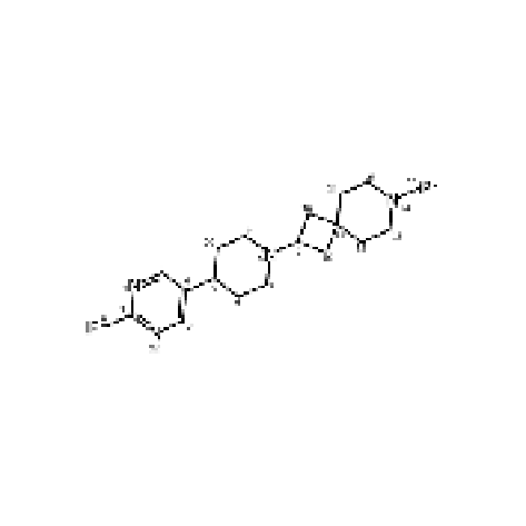 CC(C)c1ncc(C2CCN(C3CC4(CCN(C(C)C)CC4)C3)CC2)cn1